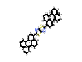 c1cc2cccc3c4ccc(-c5nc6sc(-c7ccc8c9cccc%10cccc(c%11cccc7c%118)c%109)nc6s5)c5cccc(c(c1)c23)c54